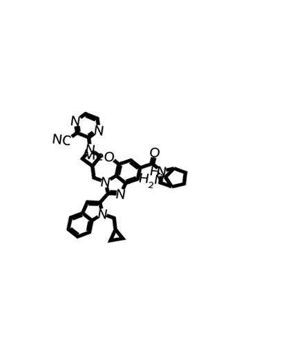 COc1cc(C(=O)N2CC3CCC2[C@@H]3N)cc2nc(-c3cc4ccccc4n3CC3CC3)n(CC3CN(c4nccnc4C#N)C3)c12